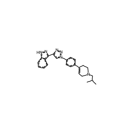 C[C](C)CN1CC=C(c2ccc(-n3cc(-c4n[nH]c5ccccc45)nn3)cc2)CC1